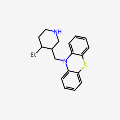 CCC1CCNCC1CN1c2ccccc2Sc2ccccc21